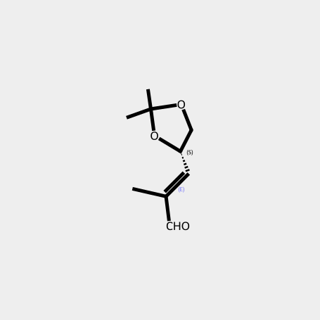 C/C(C=O)=C\[C@H]1COC(C)(C)O1